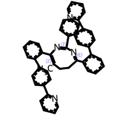 C/C1=C(c2ccccc2-c2ccc(-c3ccccn3)cc2)/N=C(c2ccccc2)\N=C(\c2ccccc2-c2ccc(-c3ccccn3)cc2)CC1